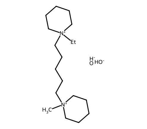 CC[N+]1(CCCCC[N+]2(C)CCCCC2)CCCCC1.[OH-].[OH-]